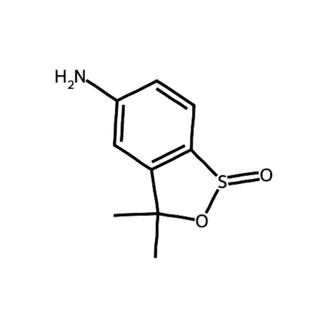 CC1(C)OS(=O)c2ccc(N)cc21